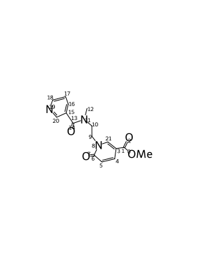 COC(=O)c1ccc(=O)n(CCN(C)C(=O)c2cccnc2)c1